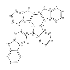 c1ccc2c(c1)oc1ccc(-n3c4ccccc4c4c5c6ccccc6oc5c5sc6ccccc6c5c43)cc12